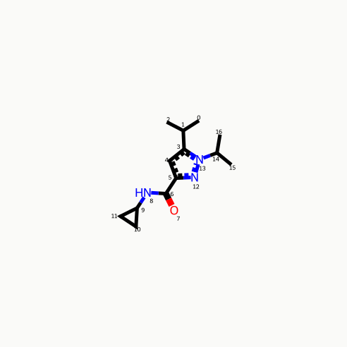 CC(C)c1cc(C(=O)NC2CC2)nn1C(C)C